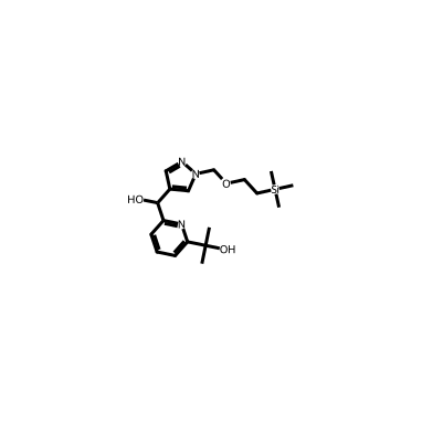 CC(C)(O)c1cccc(C(O)c2cnn(COCC[Si](C)(C)C)c2)n1